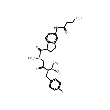 C[C@H](N(Cc1ccc(F)cc1)C(=O)CN(C(=O)O)C(=O)C1CCc2cc(NC(=O)CCC(=O)O)ccc21)C(F)(F)F